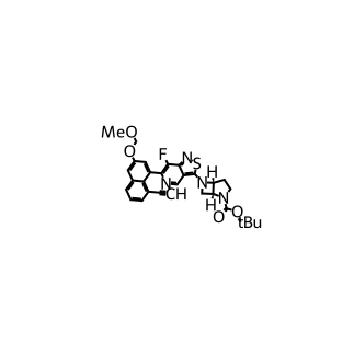 C#Cc1cccc2cc(OCOC)cc(-c3ncc4c(N5C[C@@H]6[C@H]5CCN6C(=O)OC(C)(C)C)snc4c3F)c12